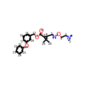 CN(C)CCON=CC1C(C(=O)OCc2cccc(Oc3ccccc3)c2)C1(C)C